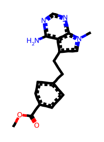 COC(=O)c1ccc(CCc2cn(C)c3ncnc(N)c23)cc1